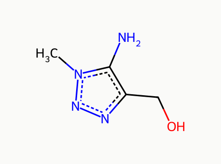 Cn1nnc(CO)c1N